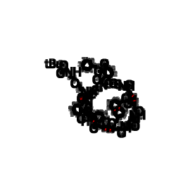 CC(C)(C)OC(=O)NCCOCCNC(=O)C1CCCN(C(=O)c2cccc(=O)n2OCc2ccccc2)CCCNC(=O)c2ccc(n(OCc3ccccc3)c2=O)C(=O)N[C@@H]2COC[C@@H]2NC(=O)c2ccc(c(=O)n2OCc2ccccc2)C(=O)NCCCN1C(=O)c1cccc(=O)n1OCc1ccccc1